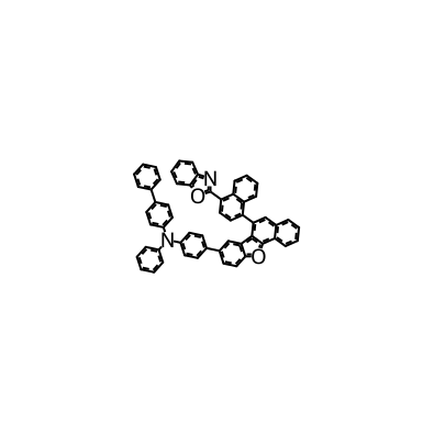 c1ccc(-c2ccc(N(c3ccccc3)c3ccc(-c4ccc5oc6c7ccccc7cc(-c7ccc(-c8nc9ccccc9o8)c8ccccc78)c6c5c4)cc3)cc2)cc1